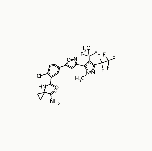 Cn1nc(C(F)(F)C(F)(F)F)c(C(C)(F)F)c1-c1cc(-c2ccc(Cl)c(C(=O)NC3(C(N)=O)CC3)c2)on1